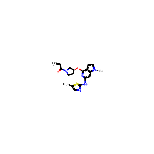 C=CC(=O)N1CC[C@H](Oc2nc(Nc3ncc(C)s3)cc3c2ccn3[C@@H](C)CC)C1